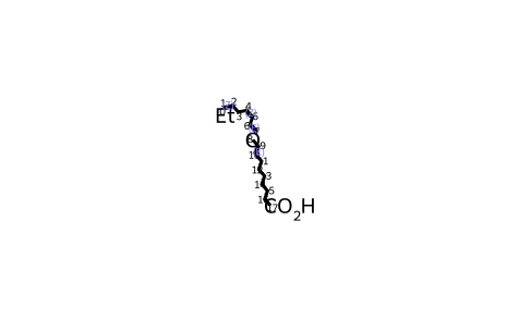 CC/C=C\C/C=C\C=C\O/C=C/CCCCCCC(=O)O